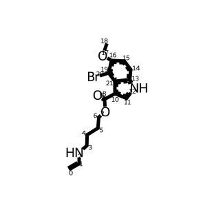 C=CNCCCCOC(=O)c1c[nH]c2ccc(OC)c(Br)c12